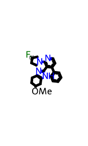 COC1CCc2nc(-c3c(-c4ccccc4)ccnc3N3CC[C@H](F)C3)[nH]c2C1